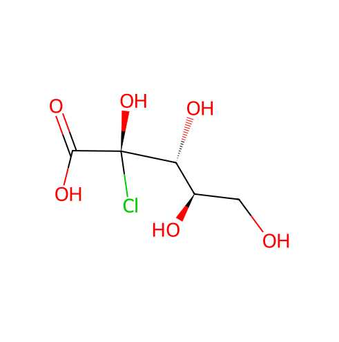 O=C(O)[C@@](O)(Cl)[C@H](O)[C@H](O)CO